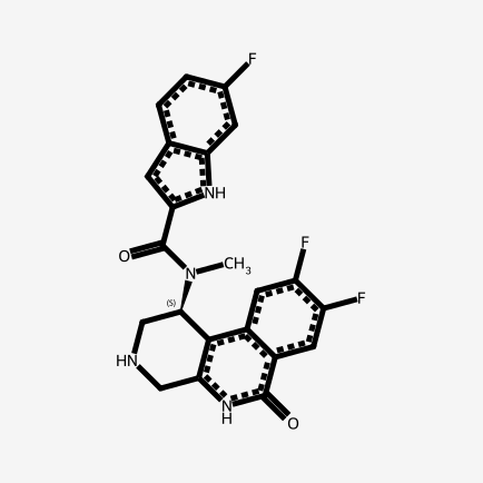 CN(C(=O)c1cc2ccc(F)cc2[nH]1)[C@@H]1CNCc2[nH]c(=O)c3cc(F)c(F)cc3c21